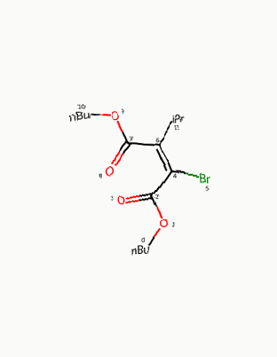 CCCCOC(=O)/C(Br)=C(\C(=O)OCCCC)C(C)C